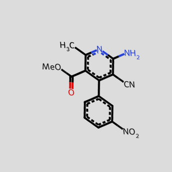 COC(=O)c1c(C)nc(N)c(C#N)c1-c1cccc([N+](=O)[O-])c1